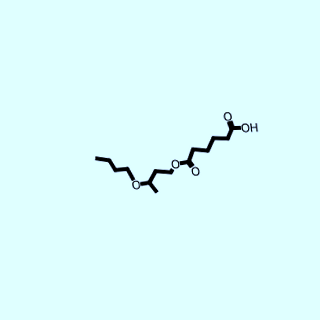 CCCCOC(C)CCOC(=O)CCCCC(=O)O